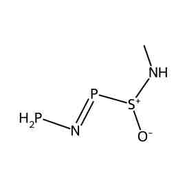 CN[S+]([O-])P=NP